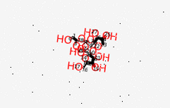 OCC1OOO[C@@H](O[C@]2(CO[C@]3(CO)O[C@H](CO)C(O)C3O)OCC(O)C2O)O1